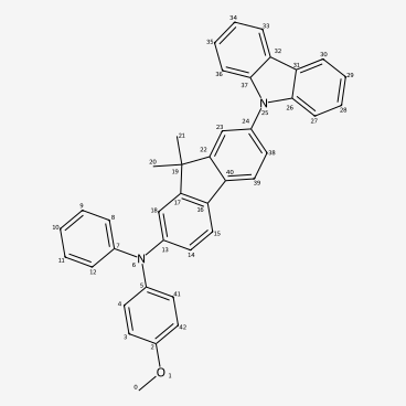 COc1ccc(N(c2ccccc2)c2ccc3c(c2)C(C)(C)c2cc(-n4c5ccccc5c5ccccc54)ccc2-3)cc1